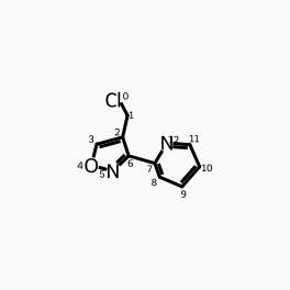 ClCc1conc1-c1ccccn1